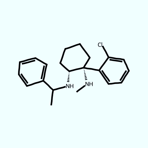 CN[C@@]1(c2ccccc2Cl)CCCC[C@H]1NC(C)c1ccccc1